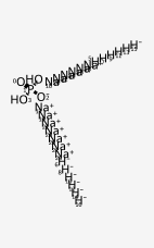 O=P([O-])(O)O.[H-].[H-].[H-].[H-].[H-].[H-].[H-].[H-].[H-].[H-].[H-].[H-].[Na+].[Na+].[Na+].[Na+].[Na+].[Na+].[Na+].[Na+].[Na+].[Na+].[Na+].[Na+].[Na+]